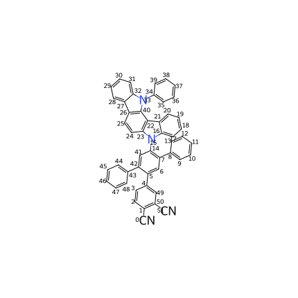 N#Cc1ccc(-c2cc(-c3ccccc3)c(-n3c4ccccc4c4c3ccc3c5ccccc5n(-c5ccccc5)c34)cc2-c2ccccc2)cc1C#N